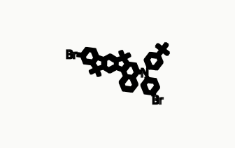 CC(C)(C)c1ccc(N(c2ccc(Br)cc2)c2cc3c(c4ccccc24)-c2cc4c(cc2C3(C)C)-c2ccc(Br)cc2C4(C)C)cc1